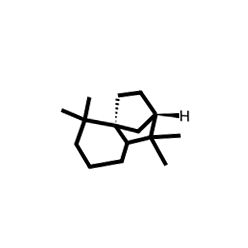 CC1(C)C2CCCC(C)(C)[C@]23CC[C@H]1C3